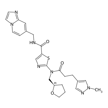 Cn1cc(CCC(=O)N(C[C@H]2CCCO2)c2ncc(C(=O)NCc3ccn4ccnc4c3)s2)cn1